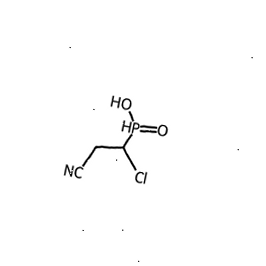 N#CCC(Cl)[PH](=O)O